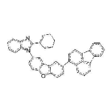 C1=CC(c2nc3ccccc3n2-c2ccc3oc4ccc(-c5ccc6c7c(cccc57)-c5ccccc5-6)cc4c3c2)=CCC1